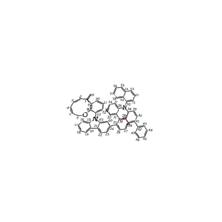 C=C1/C=C\C=C/COc2c1cccc2-n1c2ccccc2c2ccc(-c3ccccc3-c3ccccc3N(c3ccc(-c4ccccc4)cc3)c3cccc4ccccc34)cc21